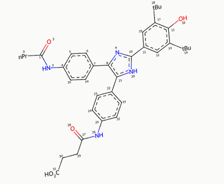 CCCC(=O)Nc1ccc(-c2nc(-c3cc(C(C)(C)C)c(O)c(C(C)(C)C)c3)[nH]c2-c2ccc(NC(=O)CCC(=O)O)cc2)cc1